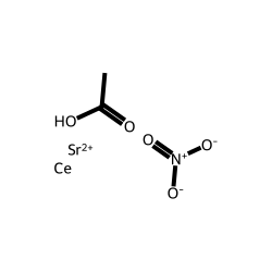 CC(=O)O.O=[N+]([O-])[O-].[Ce].[Sr+2]